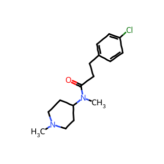 CN1CCC(N(C)C(=O)CCc2ccc(Cl)cc2)CC1